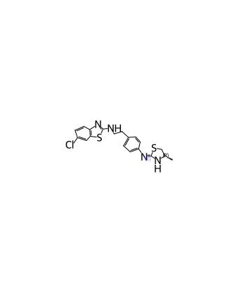 C[C@@H]1CS/C(=N\c2ccc(CCNc3nc4ccc(Cl)cc4s3)cc2)N1